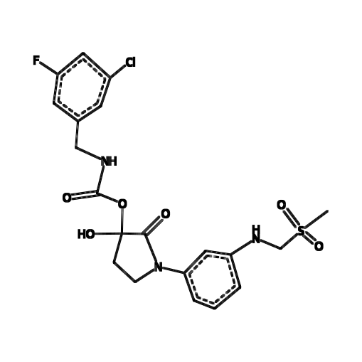 CS(=O)(=O)CNc1cccc(N2CCC(O)(OC(=O)NCc3cc(F)cc(Cl)c3)C2=O)c1